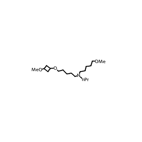 CCCN(CCCCCOC)CCCCCOC1CC(OC)C1